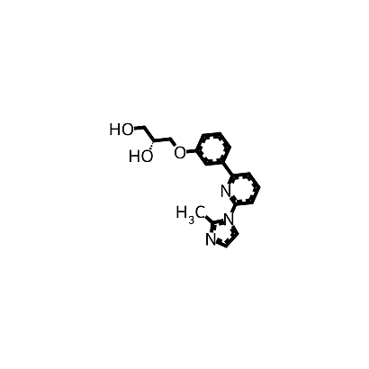 Cc1nccn1-c1cccc(-c2cccc(OC[C@H](O)CO)c2)n1